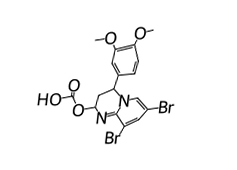 COc1ccc(C2CC(OC(=O)O)N=C3C(Br)=CC(Br)=CN32)cc1OC